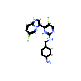 NC1CCC(CNc2ncc(F)c(-c3cnc4ccc(F)cn34)n2)CC1